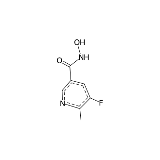 Cc1ncc(C(=O)NO)cc1F